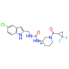 O=C(NCc1cc2cc(Cl)ccc2[nH]1)N[C@@H]1CCCN(C(=O)C2CC2(F)F)C1